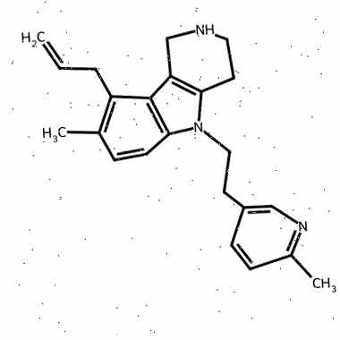 C=CCc1c(C)ccc2c1c1c(n2CCc2ccc(C)nc2)CCNC1